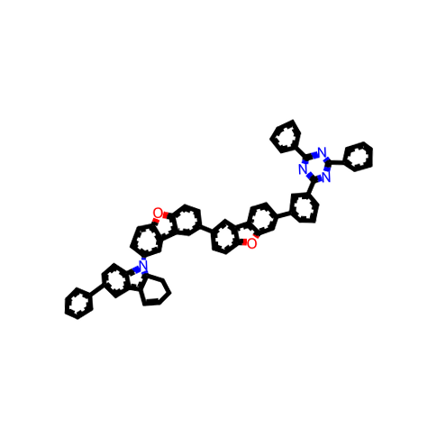 C1=Cc2c(n(-c3ccc4oc5ccc(-c6ccc7oc8cc(-c9cccc(-c%10nc(-c%11ccccc%11)nc(-c%11ccccc%11)n%10)c9)ccc8c7c6)cc5c4c3)c3ccc(-c4ccccc4)cc23)CC1